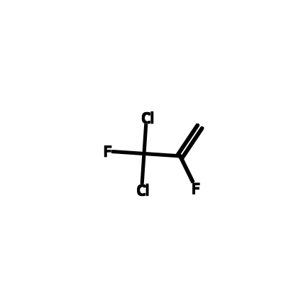 C=C(F)C(F)(Cl)Cl